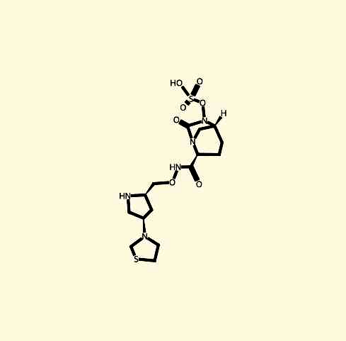 O=C(NOC[C@H]1C[C@@H](N2CCSC2)CN1)[C@@H]1CC[C@@H]2CN1C(=O)N2OS(=O)(=O)O